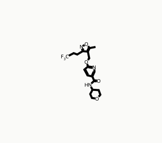 Cc1onc(CCC(F)(F)F)c1COc1ccc(C(=O)NC2CCOCC2)cn1